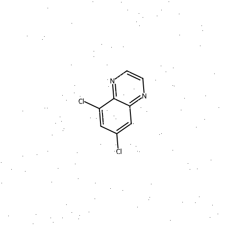 Clc1[c]c2nccnc2c(Cl)c1